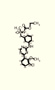 CCOC(=O)N=S(C)(=O)Cc1cccc(Nc2ncnc(-c3cccc(Cl)c3OC)n2)c1